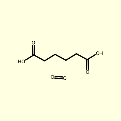 O=C(O)CCCCC(=O)O.O=O